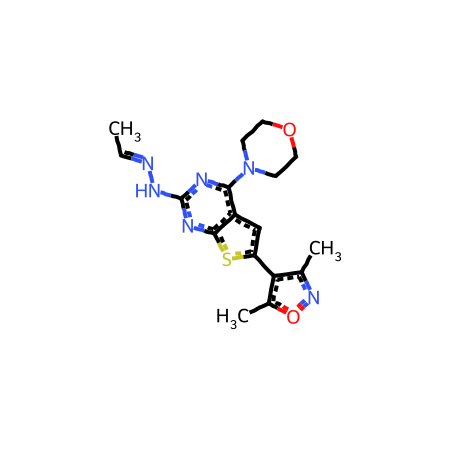 C/C=N/Nc1nc(N2CCOCC2)c2cc(-c3c(C)noc3C)sc2n1